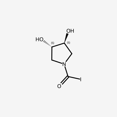 O=C(I)N1C[C@H](O)[C@@H](O)C1